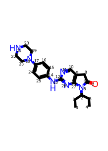 CCC(CC)N1C(=O)Cc2cnc(Nc3ccc(N4CCNCC4)cc3)nc21